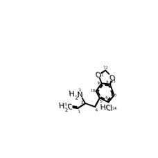 C=CC(N)Cc1ccc2c(c1)OCO2.Cl